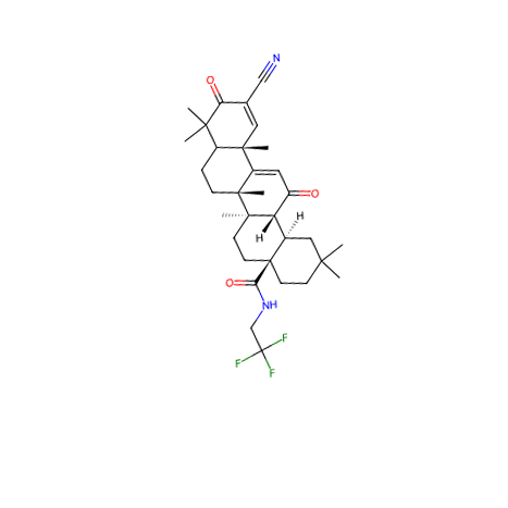 CC1(C)CC[C@]2(C(=O)NCC(F)(F)F)CC[C@]3(C)[C@H](C(=O)C=C4[C@@]5(C)C=C(C#N)C(=O)C(C)(C)C5CC[C@]43C)[C@H]2C1